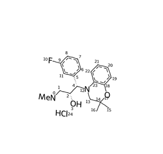 CNC[C@@H](O)[C@H](c1cccc(F)c1)N1CC(C)(C)Oc2ccccc21.Cl